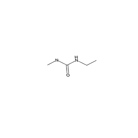 CCNC(=O)[N]C